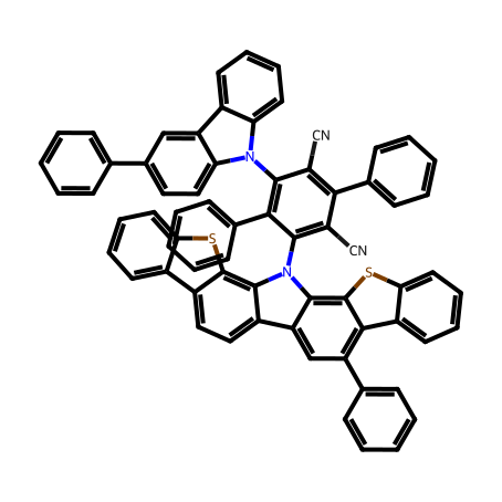 N#Cc1c(-c2ccccc2)c(C#N)c(-n2c3c(ccc4c5ccccc5sc43)c3cc(-c4ccccc4)c4c5ccccc5sc4c32)c(-c2ccccc2)c1-n1c2ccccc2c2cc(-c3ccccc3)ccc21